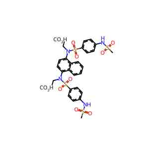 CS(=O)(=O)Nc1ccc(S(=O)(=O)N(CC(=O)O)c2ccc(N(CC(=O)O)S(=O)(=O)c3ccc(NS(C)(=O)=O)cc3)c3ccccc23)cc1